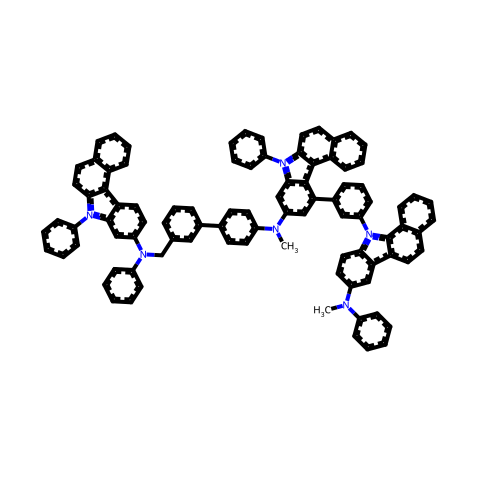 CN(c1ccccc1)c1ccc2c(c1)c1ccc3ccccc3c1n2-c1cccc(-c2cc(N(C)c3ccc(-c4cccc(CN(c5ccccc5)c5ccc6c7c8ccccc8ccc7n(-c7ccccc7)c6c5)c4)cc3)cc3c2c2c4ccccc4ccc2n3-c2ccccc2)c1